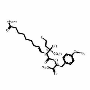 CCCCCCCC(=O)CCCCCCC=C[C@H](C(=O)N[C@@H](Cc1ccc(OCCCC)cc1)C(=O)OC)[C@@](O)(CCF)C(=O)O